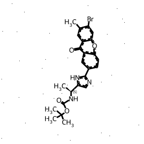 Cc1cc2c(=O)c3cc(-c4ncc([C@H](C)NC(=O)OC(C)(C)C)[nH]4)ccc3oc2cc1Br